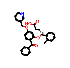 Cc1ccccc1[C@@H](CCC(=O)O)Oc1cc(OCc2cccnc2)ccc1C(=O)c1ccccc1